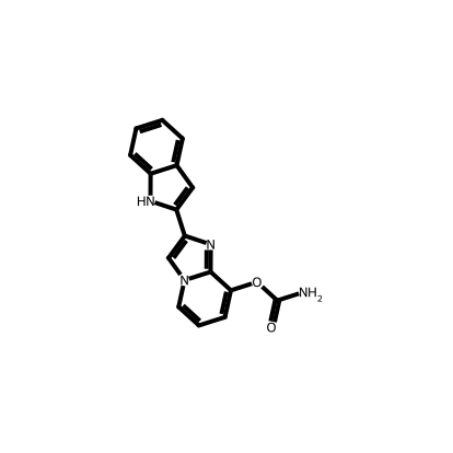 NC(=O)Oc1cccn2cc(-c3cc4ccccc4[nH]3)nc12